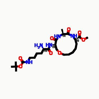 COC(=O)[C@@H]1CCCCCOC[C@H](NC(=O)[C@@H](N)CCCCNC(=O)OC(C)(C)C)C(=O)N[C@@H](C)C(=O)N1